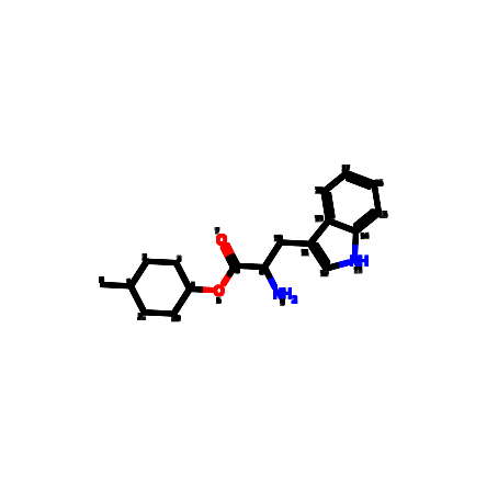 CC1CCC(OC(=O)C(N)Cc2c[nH]c3ccccc23)CC1